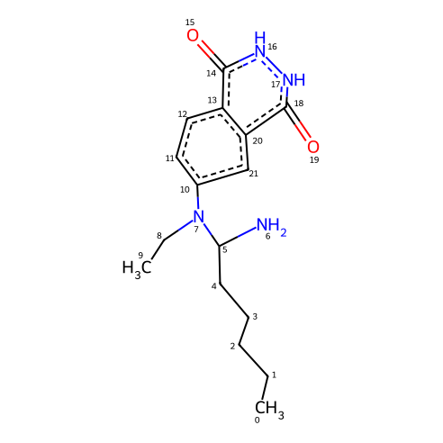 CCCCCC(N)N(CC)c1ccc2c(=O)[nH][nH]c(=O)c2c1